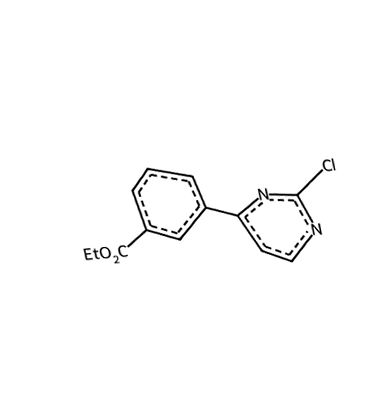 CCOC(=O)c1cccc(-c2ccnc(Cl)n2)c1